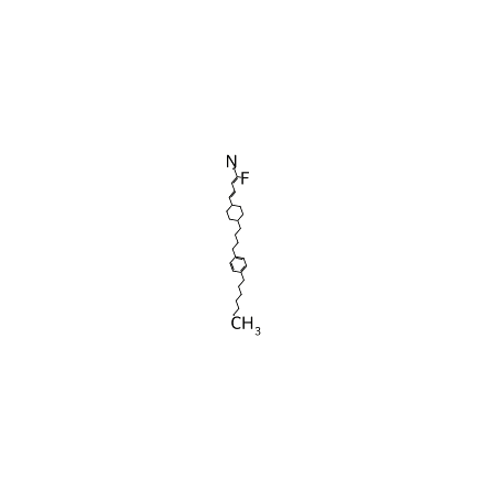 CCCCCCCc1ccc(CCCCC2CCC(C=CC=C(F)C#N)CC2)cc1